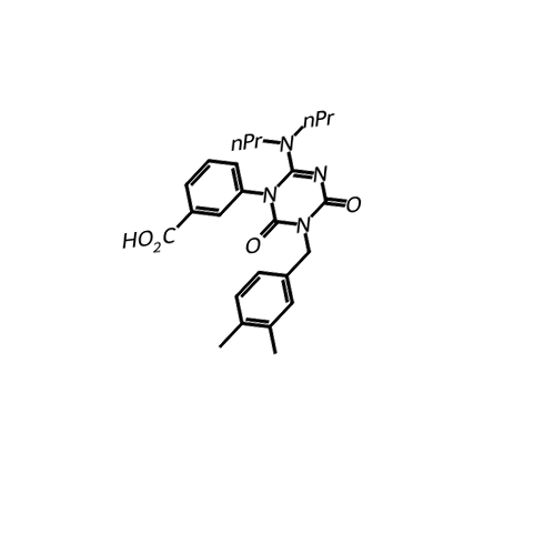 CCCN(CCC)c1nc(=O)n(Cc2ccc(C)c(C)c2)c(=O)n1-c1cccc(C(=O)O)c1